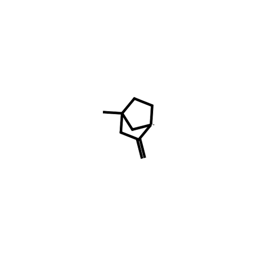 C=C1CC2(C)CC[C]1C2